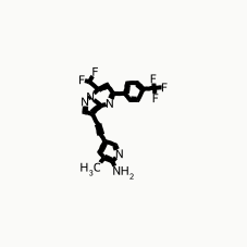 Cc1cc(C#Cc2cnn3c(C(F)F)cc(-c4ccc(C(F)(F)F)cc4)nc23)cnc1N